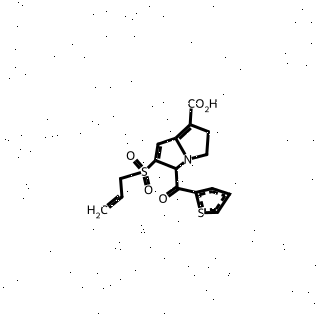 C=CCS(=O)(=O)C1=CC2=C(C(=O)O)CCN2C1C(=O)c1cccs1